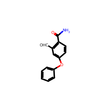 NC(=O)c1ccc(Oc2ccccc2)cc1C=O